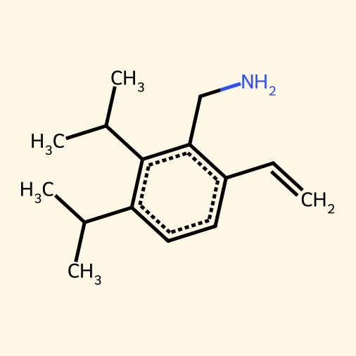 C=Cc1ccc(C(C)C)c(C(C)C)c1CN